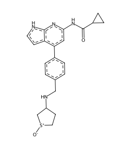 O=C(Nc1cc(-c2ccc(CNC3CC[S+]([O-])C3)cc2)c2cc[nH]c2n1)C1CC1